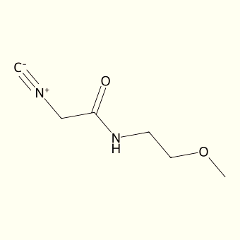 [C-]#[N+]CC(=O)NCCOC